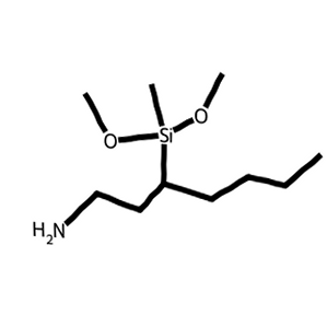 CCCCC(CCN)[Si](C)(OC)OC